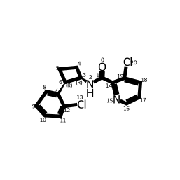 O=C(N[C@@H]1CC[C@@H]1c1ccccc1Cl)c1ncccc1Cl